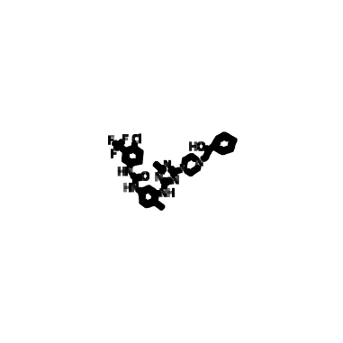 Cc1nc(Nc2cc(NC(=O)Nc3ccc(Cl)c(C(F)(F)F)c3)ccc2C)nc(N2CCN(CC(O)c3ccccc3)CC2)n1